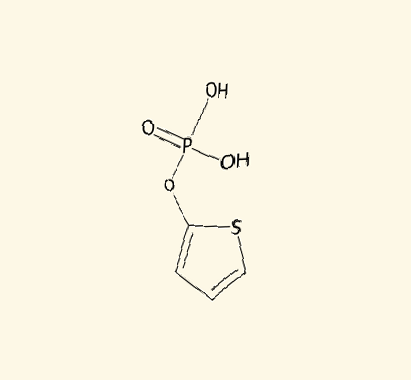 O=P(O)(O)Oc1cccs1